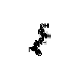 OCc1ccc(-c2n[nH]c(-c3ccc(Nc4nccc(-c5cc(F)cc(N6CCOCC6)c5)n4)cc3)n2)nc1